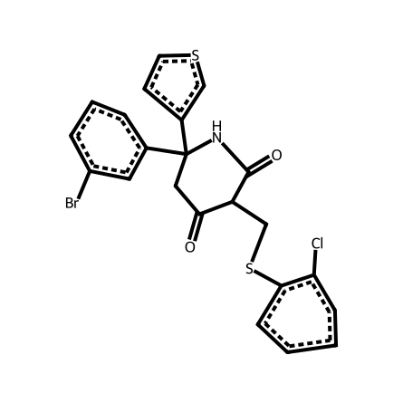 O=C1CC(c2ccsc2)(c2cccc(Br)c2)NC(=O)C1CSc1ccccc1Cl